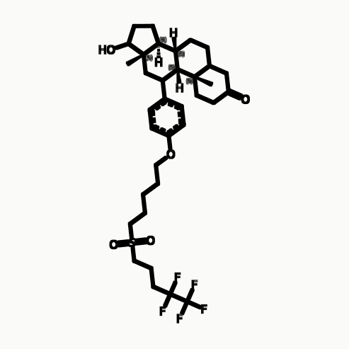 C[C@]12CCC(=O)CC1CC[C@@H]1[C@H]2C(c2ccc(OCCCCCS(=O)(=O)CCCC(F)(F)C(F)(F)F)cc2)C[C@]2(C)C(O)CC[C@@H]12